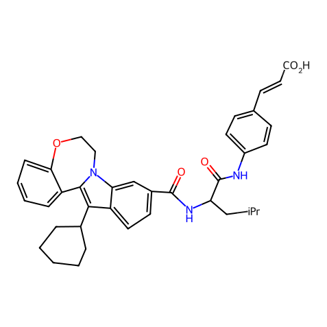 CC(C)CC(NC(=O)c1ccc2c(C3CCCCC3)c3n(c2c1)CCOc1ccccc1-3)C(=O)Nc1ccc(C=CC(=O)O)cc1